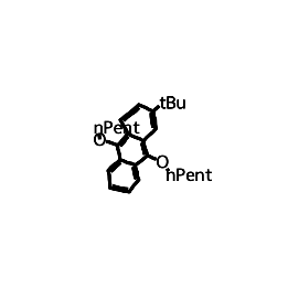 CCCCCOc1c2ccccc2c(OCCCCC)c2cc(C(C)(C)C)ccc12